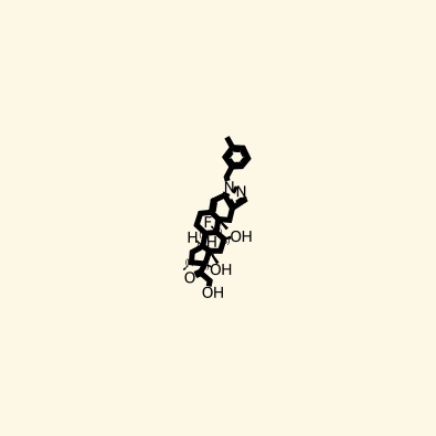 Cc1cccc(Cn2ncc3c2C=C2CC[C@H]4[C@@H]5C[C@@H](C)[C@](O)(C(=O)CO)[C@@]5(C)C[C@H](O)[C@]4(F)[C@@]2(C)C3)c1